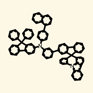 c1ccc(C2(c3ccccc3)c3ccccc3-c3ccc(N(c4ccc(-c5cccc6ccccc56)cc4)c4cccc(-c5ccc6c(c5)C5(c7ccccc7-6)c6ccccc6-n6c7ccccc7c7cccc5c76)c4)cc32)cc1